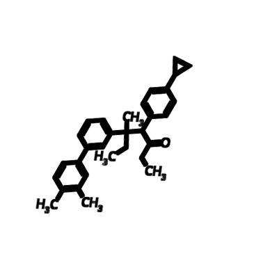 CCC(=O)C(c1ccc(C2CC2)cc1)C(C)(CC)c1cccc(-c2ccc(C)c(C)c2)c1